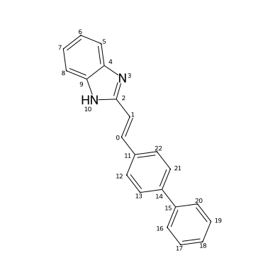 C(=C\c1nc2ccccc2[nH]1)/c1ccc(-c2ccccc2)cc1